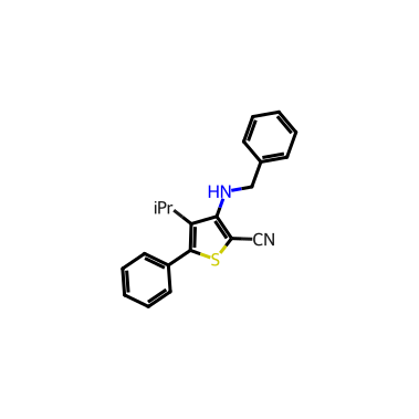 CC(C)c1c(-c2ccccc2)sc(C#N)c1NCc1ccccc1